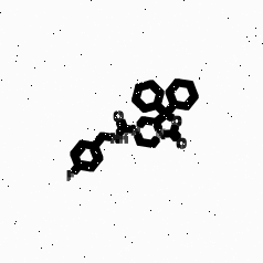 O=C(NCc1ccc(F)cc1)N1CCN2C(=O)OC(C3CCCCC3)(C3CCCCC3)C2C1